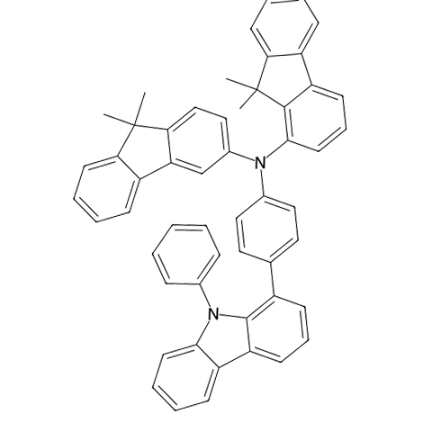 CC1(C)c2ccccc2-c2cc(N(c3ccc(-c4cccc5c6ccccc6n(-c6ccccc6)c45)cc3)c3cccc4c3C(C)(C)c3ccccc3-4)ccc21